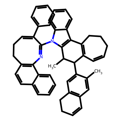 Cc1cc2c(cc1C1C3=C(CCCC=C3)c3c(n(C4=N/c5c(ccc6ccccc56)CC/C=C\4c4ccccc4)c4ccccc34)C1C)CCC=C2